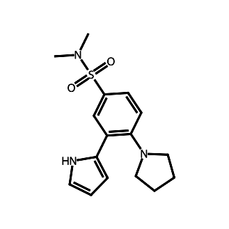 CN(C)S(=O)(=O)c1ccc(N2CCCC2)c(-c2ccc[nH]2)c1